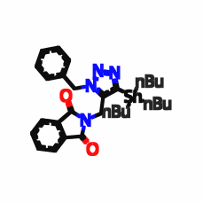 CCC[CH2][Sn]([CH2]CCC)([CH2]CCC)[c]1nnn(Cc2ccccc2)c1CN1C(=O)c2ccccc2C1=O